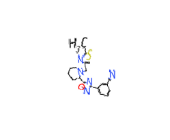 Cc1nc(CN2CCCCC2c2nc(-c3cccc(C#N)c3)no2)cs1